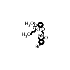 CCCCC(=O)Oc1c(OCC)cccc1OCCn1ncc2cc(Br)ccc2c1=O